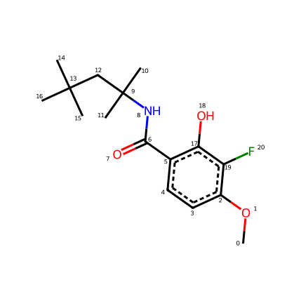 COc1ccc(C(=O)NC(C)(C)CC(C)(C)C)c(O)c1F